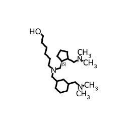 CN(C)CC1CCCC(CN(CCCCCCO)C[C@H]2CCCC2CN(C)C)C1